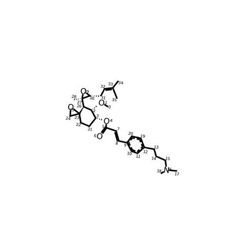 CO[C@@H]1[C@H](OC(=O)/C=C/c2ccc(CCCN(C)C)cc2)CCC2(CO2)[C@H]1[C@@]1(C)O[C@@H]1CC=C(C)C